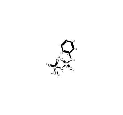 CS(=O)(=O)OS(=O)(=O)Oc1ccccc1